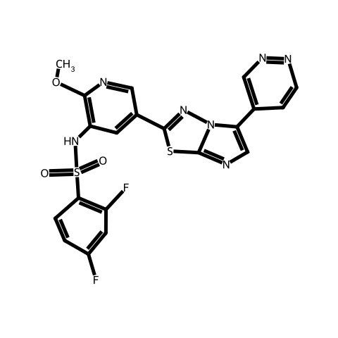 COc1ncc(-c2nn3c(-c4ccnnc4)cnc3s2)cc1NS(=O)(=O)c1ccc(F)cc1F